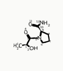 C[C@H](O)C(=O)N1CC[CH][C@@H]1C(N)=O